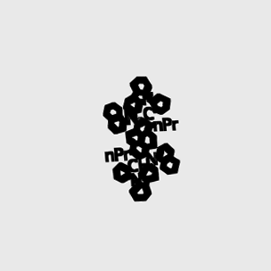 CCCc1cc(N(c2ccc3c4ccccc4n(-c4ccccc4C)c3c2)c2cccc3c2CCCC3)c2ccc3c(CCC)cc(N(c4ccc5c6ccccc6n(-c6ccccc6C)c5c4)c4cccc5c4CCCC5)c4ccc1c2c34